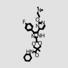 CN(C)CCOc1nccc(-c2[nH]c(C3OCC(C)(C(=O)NC4CCCCC4)CO3)nc2-c2ccc(F)cc2)n1